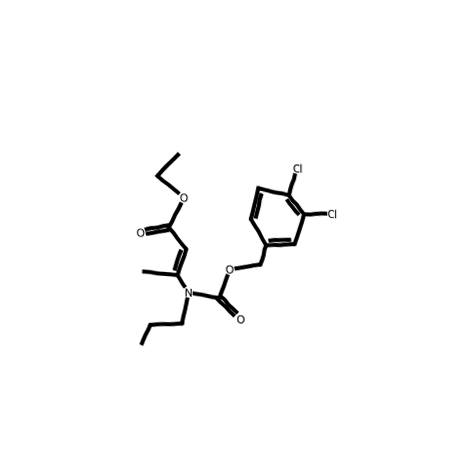 CCCN(C(=O)OCc1ccc(Cl)c(Cl)c1)C(C)=CC(=O)OCC